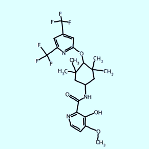 COc1ccnc(C(=O)NC2CC(C)(C)C(Oc3cc(C(F)(F)F)cc(C(F)(F)F)n3)C(C)(C)C2)c1O